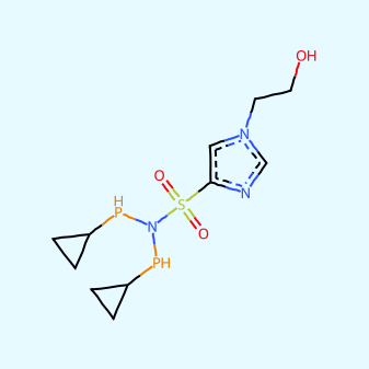 O=S(=O)(c1cn(CCO)cn1)N(PC1CC1)PC1CC1